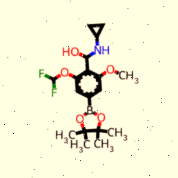 COc1cc(B2OC(C)(C)C(C)(C)O2)cc(OC(F)F)c1C(O)NC1CC1